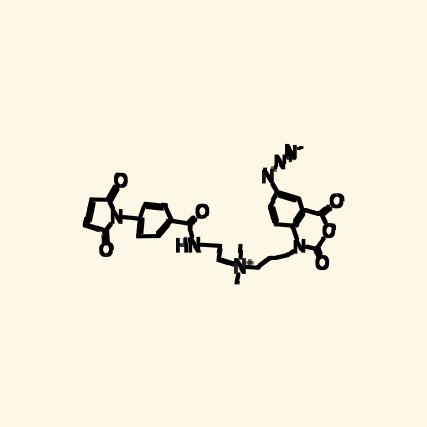 C[N+](C)(CCCn1c(=O)oc(=O)c2cc(N=[N+]=[N-])ccc21)CCNC(=O)c1ccc(N2C(=O)C=CC2=O)cc1